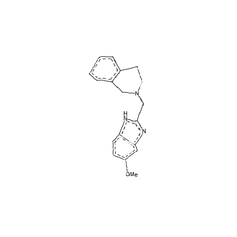 COc1ccc2[nH]c(CN3CCc4ccccc4C3)nc2c1